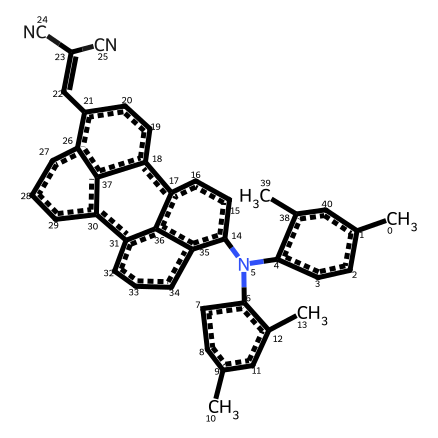 Cc1ccc(N(c2ccc(C)cc2C)c2ccc3c4ccc(C=C(C#N)C#N)c5cccc(c6cccc2c63)c54)c(C)c1